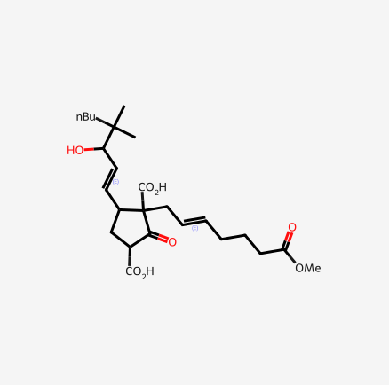 CCCCC(C)(C)C(O)/C=C/C1CC(C(=O)O)C(=O)C1(C/C=C/CCCC(=O)OC)C(=O)O